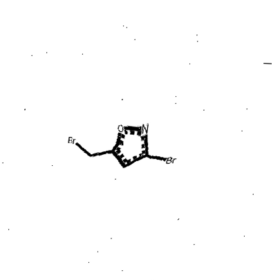 BrCc1cc(Br)no1